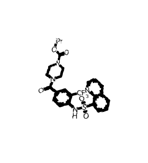 CC(C)OC(=O)N1CCN(C(=O)c2ccc(NS(=O)(=O)c3cccc4cccnc34)c(C(F)(F)F)c2)CC1